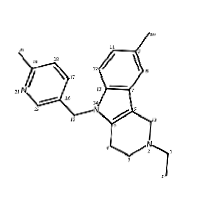 CCN1CCc2c(c3cc(C)ccc3n2Cc2ccc(C)nc2)C1